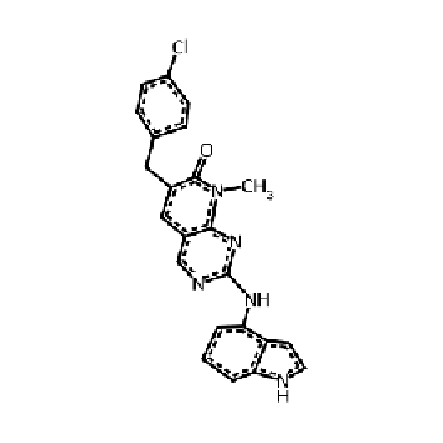 Cn1c(=O)c(Cc2ccc(Cl)cc2)cc2cnc(Nc3cccc4[nH]ccc34)nc21